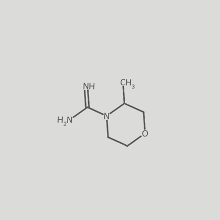 CC1COCCN1C(=N)N